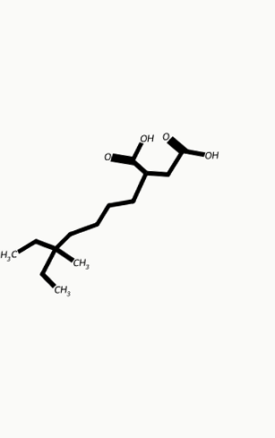 CCC(C)(CC)CCCCC(CC(=O)O)C(=O)O